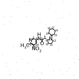 Cc1ncc(NC(=O)C[C@@H]2CCCN2C2CCCCC2)cc1[N+](=O)[O-]